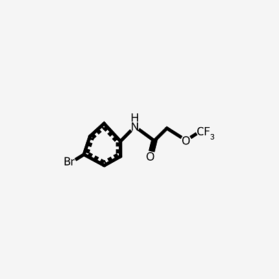 O=C(COC(F)(F)F)Nc1ccc(Br)cc1